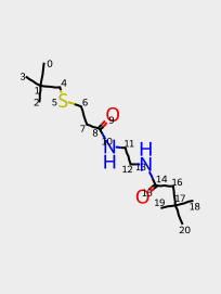 CC(C)(C)CSCCC(=O)NCCNC(=O)CC(C)(C)C